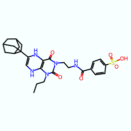 CCCn1c2c(c(=O)n(CCNC(=O)c3ccc(S(=O)(=O)O)cc3)c1=O)NC(C13CC4CC(CC1C4)C3)=CN2